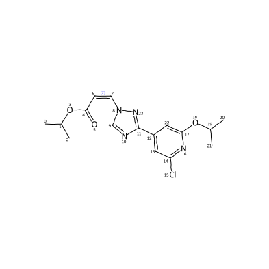 CC(C)OC(=O)/C=C\n1cnc(-c2cc(Cl)nc(OC(C)C)c2)n1